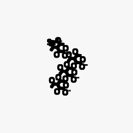 CC(=O)C(C(C)=O)C(=O)C(=O)[O-].CC(=O)C(C(C)=O)C(=O)C(=O)[O-].CC(=O)C(C(C)=O)C(=O)C(=O)[O-].CC(=O)C(C(C)=O)C(=O)C(=O)[O-].[Sn+4]